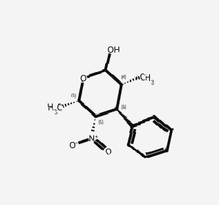 C[C@@H]1OC(O)[C@H](C)[C@@H](c2ccccc2)[C@@H]1[N+](=O)[O-]